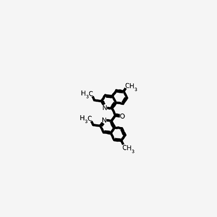 CCc1cc2cc(C)ccc2c(C(=O)c2nc(CC)cc3cc(C)ccc23)n1